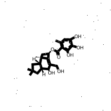 Cc1cc(O)c(O)c(O)c1C(=O)O[C@@H]1C[C@@]2(C)C1=C(CO)[C@@H](O)[C@@H]1CC(C)(C)C[C@@H]12